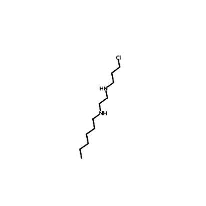 CCCCCCNCCNCCCCl